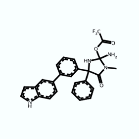 CN1C(=O)C(c2ccccc2)(c2cccc(-c3ccc4[nH]ccc4c3)c2)NC1(N)OC(=O)C(F)(F)F